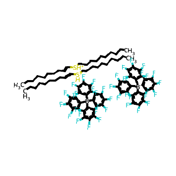 CCCCCCCCC=C[SH+]CCCCCCCCCC.CCCCCCCCC=C[SH+]CCCCCCCCCC.Fc1c(F)c(F)c([B-](c2c(F)c(F)c(F)c(F)c2F)(c2c(F)c(F)c(F)c(F)c2F)c2c(F)c(F)c(F)c(F)c2F)c(F)c1F.Fc1c(F)c(F)c([B-](c2c(F)c(F)c(F)c(F)c2F)(c2c(F)c(F)c(F)c(F)c2F)c2c(F)c(F)c(F)c(F)c2F)c(F)c1F